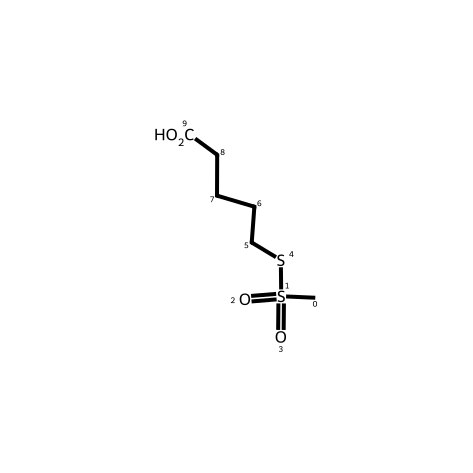 CS(=O)(=O)SCCCCC(=O)O